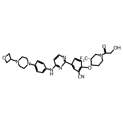 N#Cc1cc(-c2nccc(Nc3ccc(N4CCN(C5COC5)CC4)cc3)n2)ccc1O[C@H]1CCN(C(=O)CO)C[C@H]1C(F)(F)F